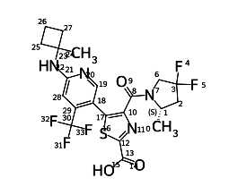 C[C@H]1CC(F)(F)CN1C(=O)c1nc(C(=O)O)sc1-c1cnc(NC2(C)CCC2)cc1C(F)(F)F